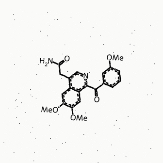 COc1cccc(C(=O)c2ncc(CC(N)=O)c3cc(OC)c(OC)cc23)c1